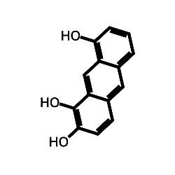 Oc1ccc2cc3cccc(O)c3cc2c1O